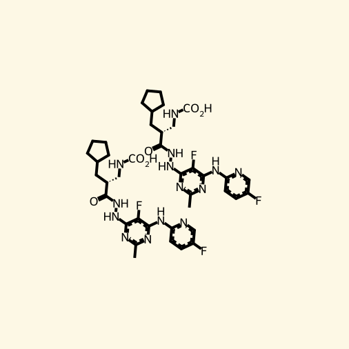 Cc1nc(NNC(=O)[C@@H](CNC(=O)O)CC2CCCC2)c(F)c(Nc2ccc(F)cn2)n1.Cc1nc(NNC(=O)[C@@H](CNC(=O)O)CC2CCCC2)c(F)c(Nc2ccc(F)cn2)n1